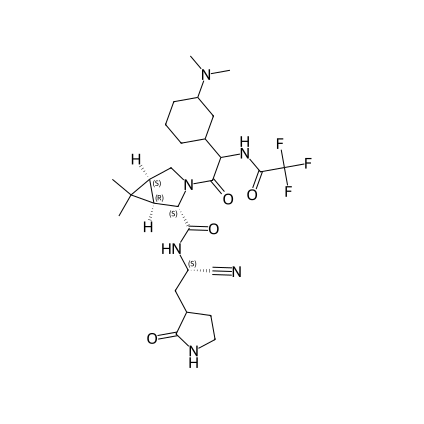 CN(C)C1CCCC(C(NC(=O)C(F)(F)F)C(=O)N2C[C@H]3[C@@H]([C@H]2C(=O)N[C@H](C#N)CC2CCNC2=O)C3(C)C)C1